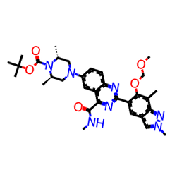 CNC(=O)c1nc(-c2cc3cn(C)nc3c(C)c2OCOC)nc2ccc(N3C[C@@H](C)N(C(=O)OC(C)(C)C)[C@H](C)C3)cc12